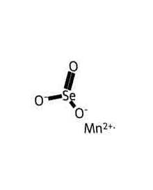 O=[Se]([O-])[O-].[Mn+2]